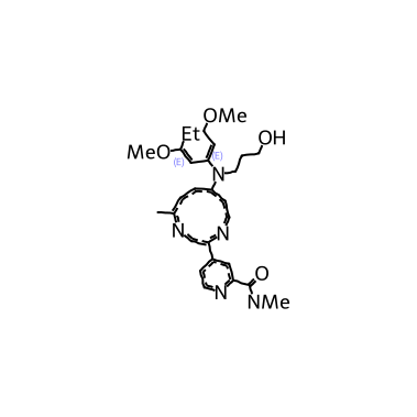 CC/C(=C\C(=C/COC)N(CCCO)c1ccnc(-c2ccnc(C(=O)NC)c2)cnc(C)cc1)OC